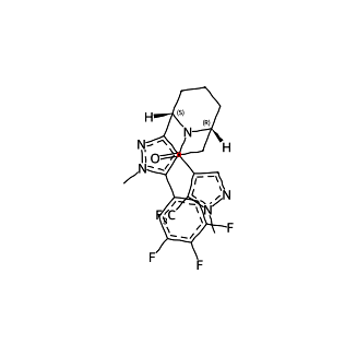 Cn1nc2c(c1-c1cc(F)c(F)c(F)c1)C[C@H]1CCC[C@@H]2N1C(=O)c1cnn(C)c1C(F)(F)F